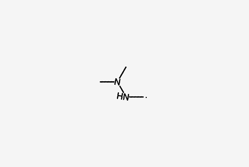 [CH2]NN(C)C